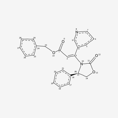 O=C([C]=C(c1cccnc1)N1C(=O)OC[C@H]1c1ccccc1)OCc1ccccc1